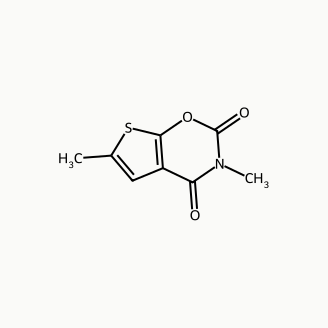 Cc1cc2c(=O)n(C)c(=O)oc2s1